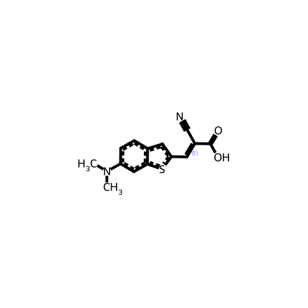 CN(C)c1ccc2cc(/C=C(\C#N)C(=O)O)sc2c1